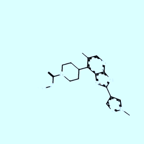 Cn1cc(-c2nc3c(C4CCN(C(=O)OC(C)(C)C)CC4)c(F)cnc3[nH]2)cn1